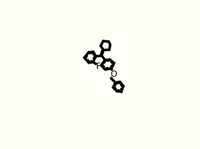 Fc1ccccc1C(=C1CCCCC1)c1ccc(OCc2ccccc2)cc1